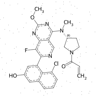 C=CC(=O)N1CC[C@@H](N(C)c2nc(OC)nc3c(F)c(-c4cc(O)cc5cccc(Cl)c45)ncc23)C1